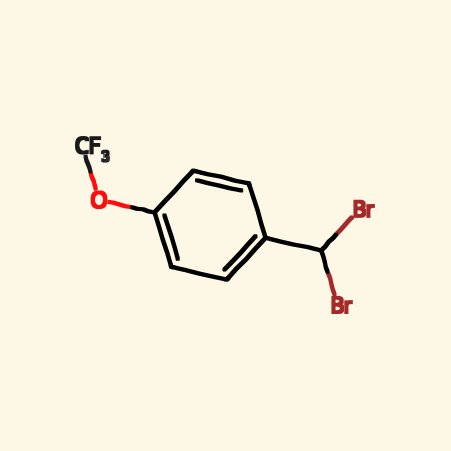 FC(F)(F)Oc1ccc(C(Br)Br)cc1